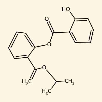 C=C(OC(C)C)c1ccccc1OC(=O)c1ccccc1O